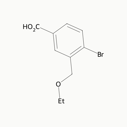 CCOCc1cc(C(=O)O)ccc1Br